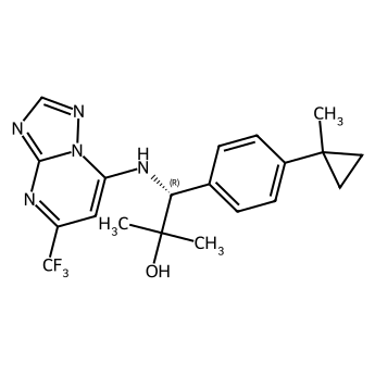 CC1(c2ccc([C@@H](Nc3cc(C(F)(F)F)nc4ncnn34)C(C)(C)O)cc2)CC1